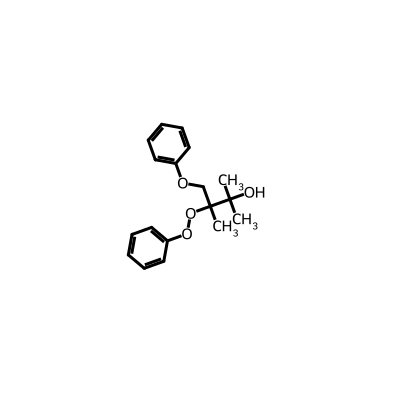 CC(C)(O)C(C)(COc1ccccc1)OOc1ccccc1